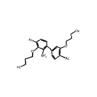 CC(=O)c1ccc(-c2ccc(C(C)=O)c(OCCCC#N)c2N)cc1OCCCC#N